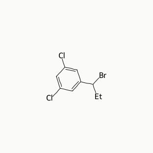 CCC(Br)c1cc(Cl)cc(Cl)c1